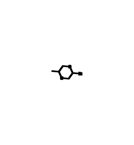 CCC1COC(C)CO1